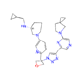 c1cc(C2(n3cc(-c4cncc(N5CCC6(CC6)C5)n4)nn3)COC2)ncc1N1CCC[C@@H](NCC2CC2)C1